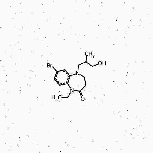 CCN1C(=O)CCN(CC(C)CO)c2cc(Br)ccc21